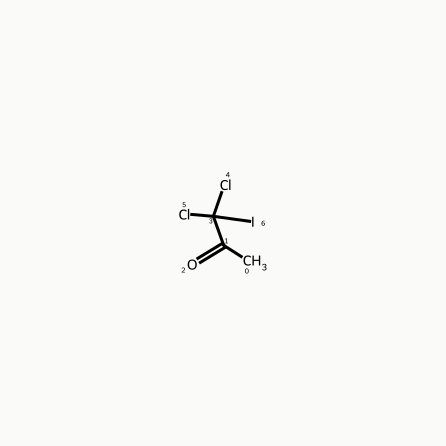 CC(=O)C(Cl)(Cl)I